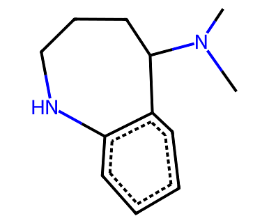 CN(C)C1CCCNc2ccccc21